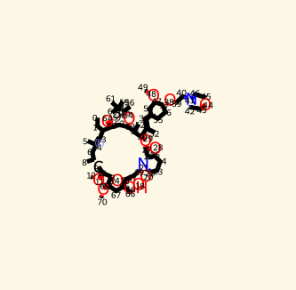 CCC1/C=C(\C)CC(C)CC(OC)C2OC(O)(C(=O)C(=O)N3CCCCC3C(=O)OC(C(C)=CC3CCC(OCCN4CCOCC4)C(OC)C3)C(C)C(O[Si](C)(C)C(C)(C)C)CC1=O)C(C)CC2OC